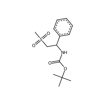 CC(C)(C)OC(=O)NC(CS(C)(=O)=O)c1ccccc1